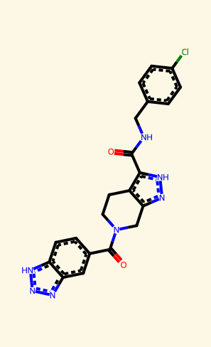 O=C(NCc1ccc(Cl)cc1)c1[nH]nc2c1CCN(C(=O)c1ccc3[nH]nnc3c1)C2